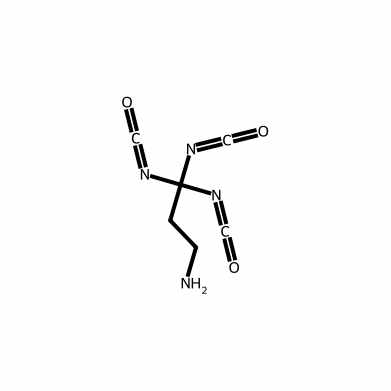 NCCC(N=C=O)(N=C=O)N=C=O